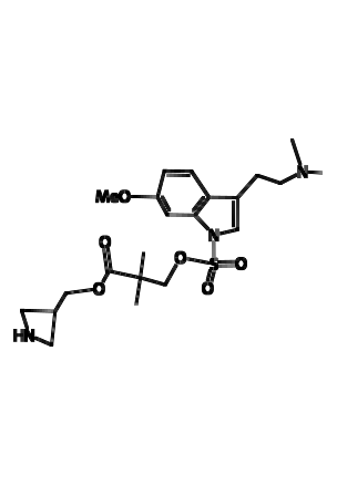 COc1ccc2c(CCN(C)C)cn(S(=O)(=O)OCC(C)(C)C(=O)OCC3CNC3)c2c1